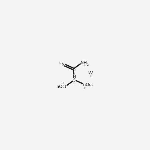 CCCCCCCC[SH](CCCCCCCC)C(N)=S.[W]